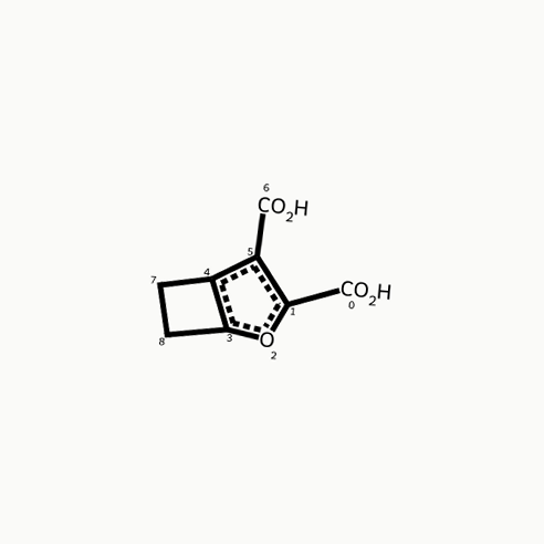 O=C(O)c1oc2c(c1C(=O)O)CC2